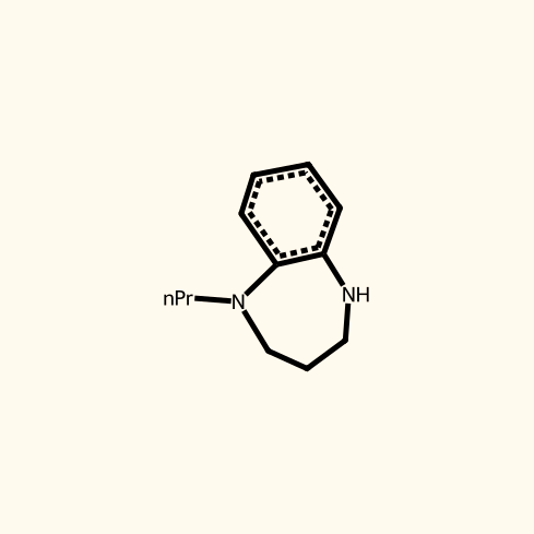 CCCN1CCCNc2ccccc21